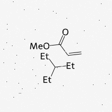 C=CC(=O)OC.CCC(CC)CC